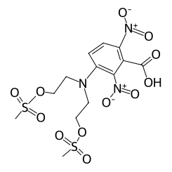 CS(=O)(=O)OCCN(CCOS(C)(=O)=O)c1ccc([N+](=O)[O-])c(C(=O)O)c1[N+](=O)[O-]